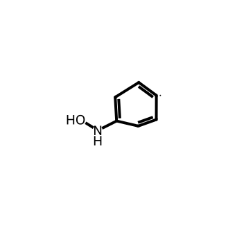 ONc1cc[c]cc1